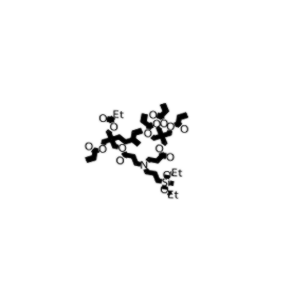 C=CC(=C)CCC(COC(=O)C=C)(COC(=O)CC)COC(=O)CCN(CCC[Si](C)(OCC)OCC)CCC(=O)OCC(COC(=O)C=C)(COC(=O)C=C)COC(=O)C=C